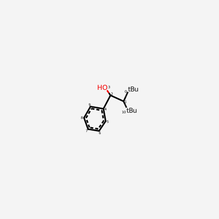 CC(C)(C)C(C(O)c1ccccc1)C(C)(C)C